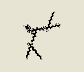 CCCCCCCCC(CCCCCC)C(=O)OCCCCC1CC(CCCCOC(=O)C(CCCCCC)CCCCCCCC)CN(C(=O)OC(C)(C)C)C1